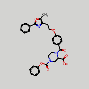 Cc1oc(-c2ccccc2)nc1CCOc1ccc(C(=O)N2CCN(C(=O)Oc3ccccc3)CC2C(=O)O)cc1